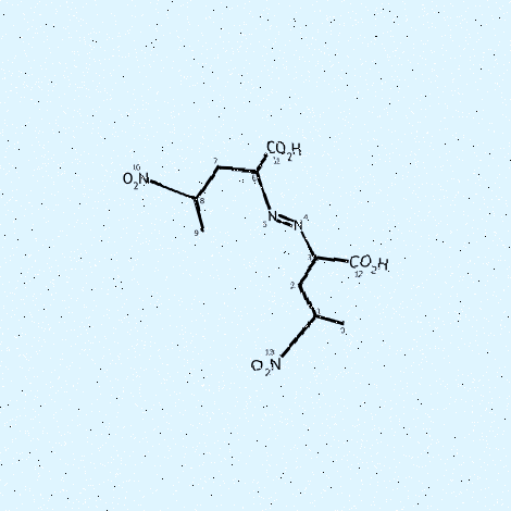 CC(CC(N=NC(CC(C)[N+](=O)[O-])C(=O)O)C(=O)O)[N+](=O)[O-]